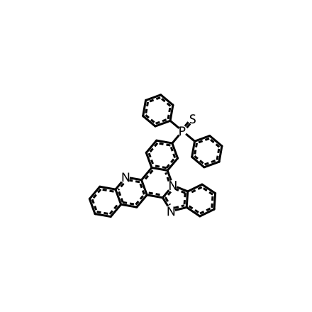 S=P(c1ccccc1)(c1ccccc1)c1ccc2c3nc4ccccc4cc3c3nc4ccccc4n3c2c1